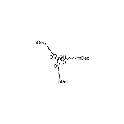 CCCCCCCCCCCCCCC/C=C/C(=O)OCC(CO)(COC(=O)/C=C/CCCCCCCCCCCCCCC)COC(=O)/C=C/CCCCCCCCCCCCCCC